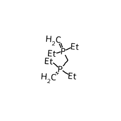 C=P(CC)(CC)CP(=C)(CC)CC